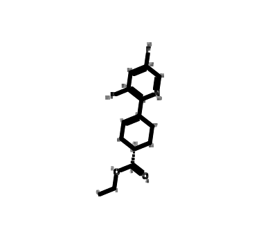 CCOC(=O)[C@@H]1CC=C(c2ncc(F)cc2F)CC1